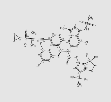 Cn1nc(NS(C)(=O)=O)c2c(Cl)ccc(-c3ccc(C#CC(C)(C)S(=O)(=O)C4CC4)nc3[C@H](Cc3cc(F)cc(F)c3)NC(=O)Cn3nc(C(C)(F)F)c4c3C(F)(F)CC4)c21